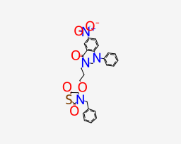 O=C1SC(=O)N(Cc2ccccc2)C1OCCCN1CN(c2ccccc2)c2ccc([N+](=O)[O-])cc2C1=O